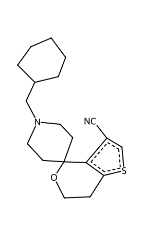 N#Cc1csc2c1C1(CCN(CC3CCCCC3)CC1)OCC2